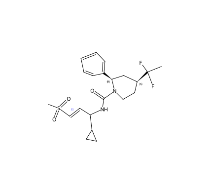 CC(F)(F)[C@H]1CCN(C(=O)NC(/C=C/S(C)(=O)=O)C2CC2)[C@@H](c2ccccc2)C1